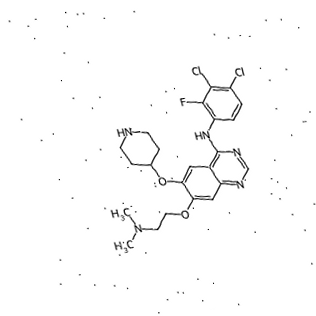 CN(C)CCOc1cc2ncnc(Nc3ccc(Cl)c(Cl)c3F)c2cc1OC1CCNCC1